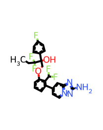 CCC(F)(F)C(O)(COc1cccc(-c2ccn3nc(N)nc3c2)c1C(F)F)c1ccc(F)cc1